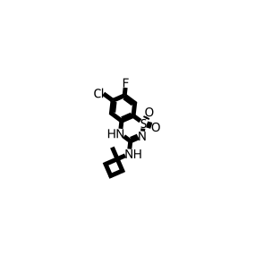 CC1(NC2=NS(=O)(=O)c3cc(F)c(Cl)cc3N2)CCC1